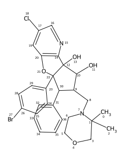 CC1(C)COCCN1CC1C(O)C2(O)c3ncc(Cl)cc3OC2(c2ccc(Br)cc2)C1c1ccccc1